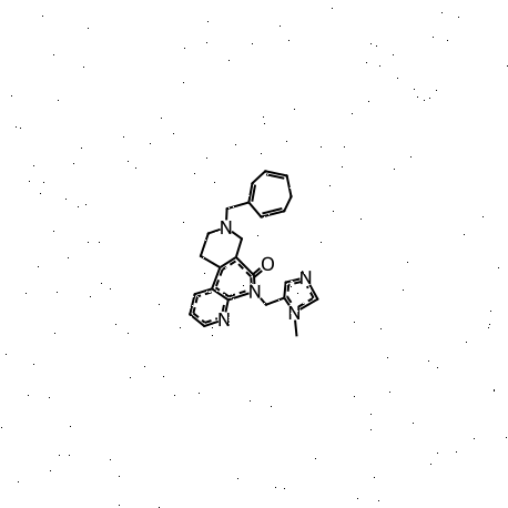 Cn1cncc1Cn1c(=O)c2c(c3cccnc31)CCN(CC1=CC=CCC=C1)C2